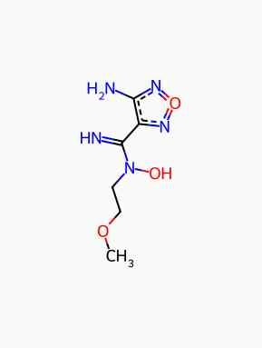 COCCN(O)C(=N)c1nonc1N